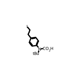 CC(C)(C)N(C(=O)O)c1ccc(CCI)cc1